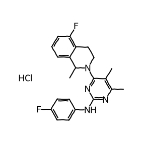 Cc1nc(Nc2ccc(F)cc2)nc(N2CCc3c(F)cccc3C2C)c1C.Cl